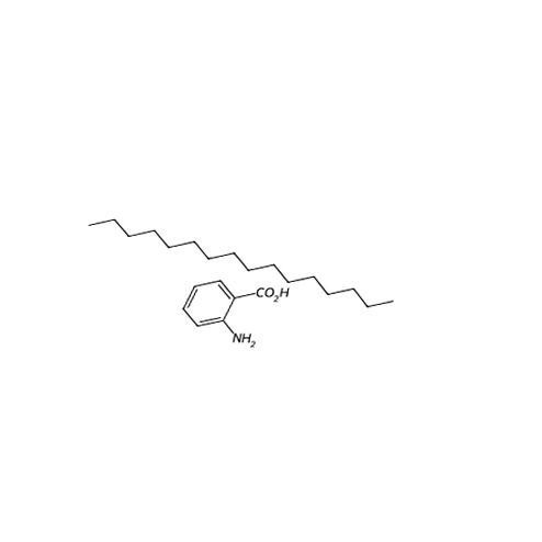 CCCCCCCCCCCCCCCC.Nc1ccccc1C(=O)O